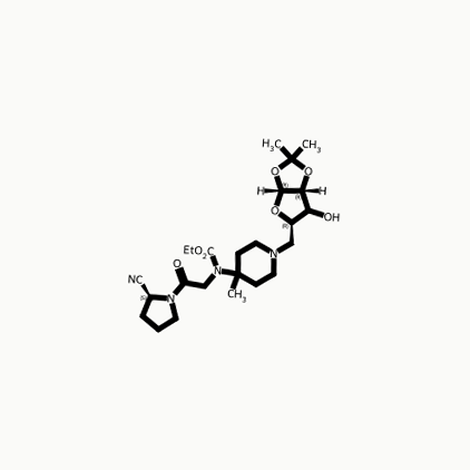 CCOC(=O)N(CC(=O)N1CCC[C@H]1C#N)C1(C)CCN(C[C@H]2O[C@@H]3OC(C)(C)O[C@@H]3C2O)CC1